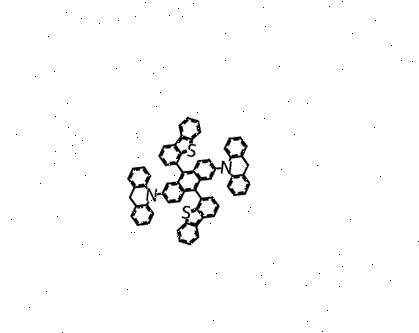 c1ccc2c(c1)Cc1ccccc1N2c1ccc2c(-c3cccc4c3sc3ccccc34)c3cc(N4c5ccccc5Cc5ccccc54)ccc3c(-c3cccc4c3sc3ccccc34)c2c1